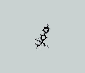 CCC(CC)(NC(=O)O)c1ccc(-c2ccc(F)cc2)cc1